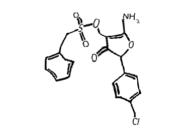 NC1=C(OS(=O)(=O)Cc2ccccc2)C(=O)C(c2ccc(Cl)cc2)O1